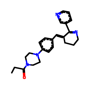 CCC(=O)N1CCN(c2ccc(C=C3CCCN=C3c3cccnc3)cc2)CC1